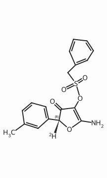 [2H][C@]1(c2cccc(C)c2)OC(N)=C(OS(=O)(=O)Cc2ccccc2)C1=O